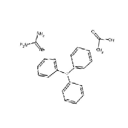 CC(=O)O.N=C(N)N.c1ccc(P(c2ccccc2)c2ccccc2)cc1